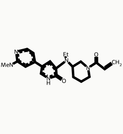 C=CC(=O)N1CCCC(N(CC)c2cc(-c3ccnc(NC)c3)c[nH]c2=O)C1